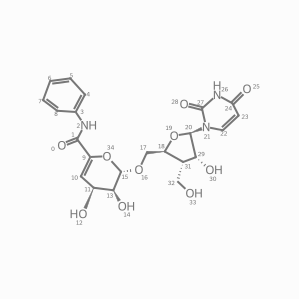 O=C(Nc1ccccc1)C1=C[C@H](O)[C@H](O)[C@@H](OC[C@H]2O[C@@H](n3ccc(=O)[nH]c3=O)[C@H](O)[C@@H]2CO)O1